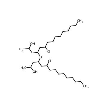 CCCCCCCCCC(Cl)CC(CC(C)O)OC(CC(C)O)CC(Cl)CCCCCCCCC